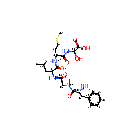 CSCC[C@H](NC(=O)[C@H](CC(C)C)NC(=O)CNC(=O)[C@@H](N)Cc1ccccc1)C(=O)NC(O)C(=O)O